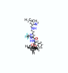 CC(C)C=C(C#N)CNCCCC[C@H](NCC(F)(F)F)C(=O)N[C@@H](Cc1ccccc1)B1O[C@@H]2C[C@@H]3C[C@@H](C3(C)C)[C@]2(C)O1